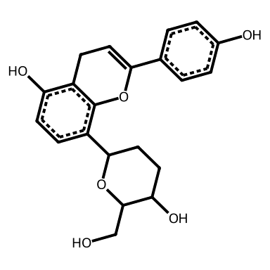 OCC1OC(c2ccc(O)c3c2OC(c2ccc(O)cc2)=CC3)CCC1O